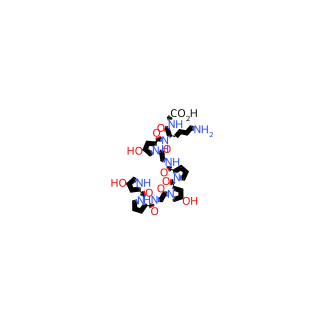 NCCCC[C@H](NC(=O)[C@@H]1C[C@@H](O)CN1C(=O)CNC(=O)[C@@H]1CCCN1C(=O)[C@@H]1C[C@@H](O)CN1C(=O)CNC(=O)[C@@H]1CCCN1C(=O)[C@@H]1C[C@@H](O)CN1)C(=O)NCC(=O)O